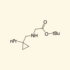 CCCC1(CNCC(=O)OC(C)(C)C)CC1